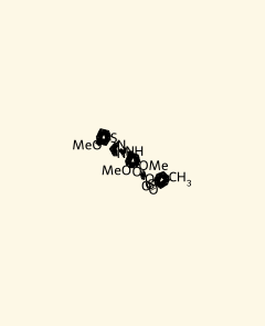 COc1cccc(Sc2ccnc(Nc3cc(OC)c(OCCOS(=O)(=O)c4ccc(C)cc4)c(OC)c3)n2)c1